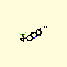 O=C(O)c1ccc2nc3c(cc2c1)CC(C1(C(F)F)CC1)CC3